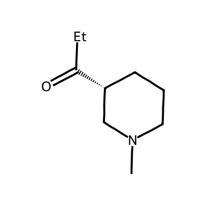 CCC(=O)[C@@H]1CCCN(C)C1